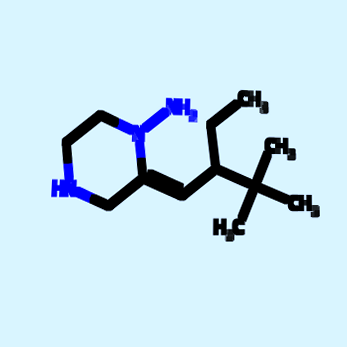 CCC(/C=C1/CNCCN1N)C(C)(C)C